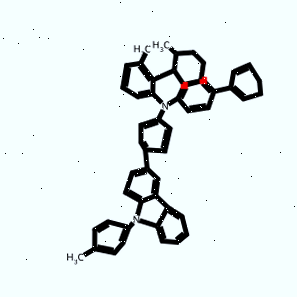 Cc1ccc(-n2c3ccccc3c3cc(-c4ccc(N(c5ccc(C6=CCCC=C6)cc5)c5cccc(C)c5C5CCCCC5C)cc4)ccc32)cc1